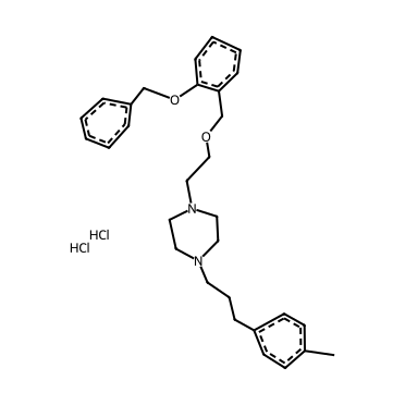 Cc1ccc(CCCN2CCN(CCOCc3ccccc3OCc3ccccc3)CC2)cc1.Cl.Cl